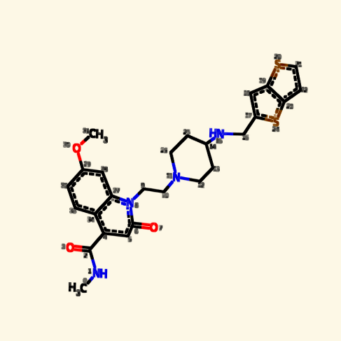 CNC(=O)c1cc(=O)n(CCN2CCC(NCc3cc4sccc4s3)CC2)c2cc(OC)ccc12